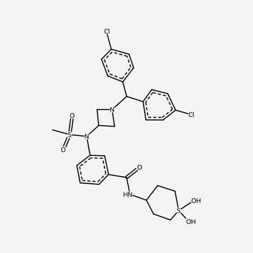 CS(=O)(=O)N(c1cccc(C(=O)NC2CCS(O)(O)CC2)c1)C1CN(C(c2ccc(Cl)cc2)c2ccc(Cl)cc2)C1